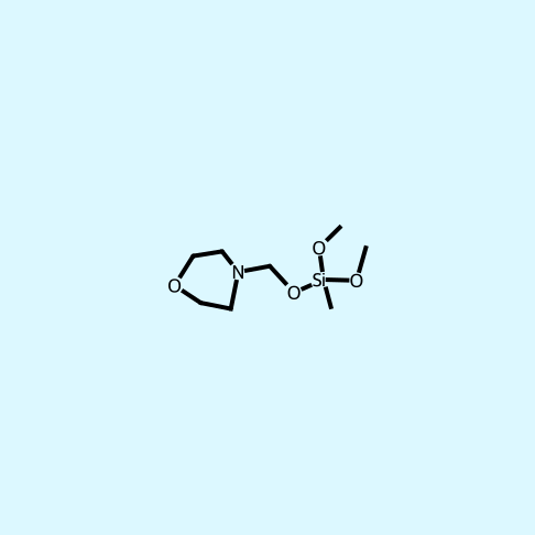 CO[Si](C)(OC)OCN1CCOCC1